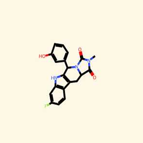 CN1C(=O)C2Cc3c([nH]c4cc(F)ccc34)C(c3cccc(O)c3)N2C1=O